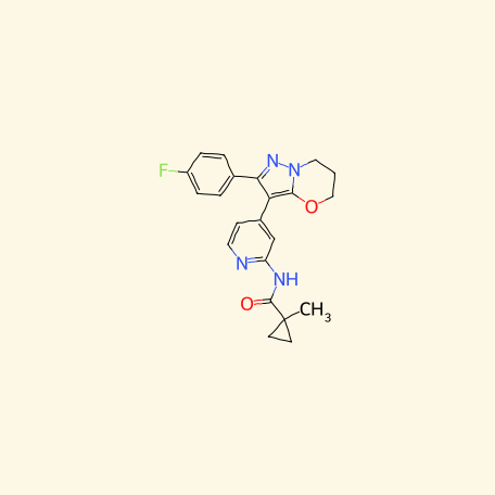 CC1(C(=O)Nc2cc(-c3c(-c4ccc(F)cc4)nn4c3OCCC4)ccn2)CC1